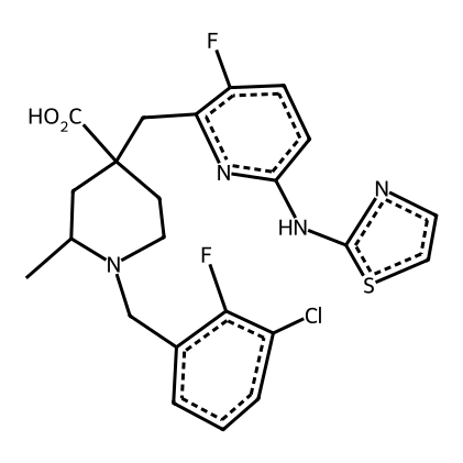 CC1CC(Cc2nc(Nc3nccs3)ccc2F)(C(=O)O)CCN1Cc1cccc(Cl)c1F